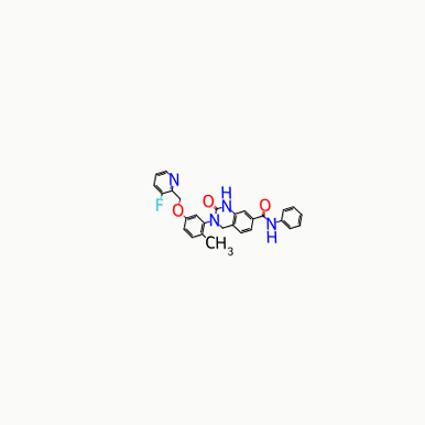 Cc1ccc(OCc2ncccc2F)cc1N1Cc2ccc(C(=O)Nc3ccccc3)cc2NC1=O